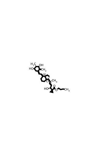 C=C1/C(=C\C=C2/CCC[C@]3(C)[C@@H]([C@H](C)/C=C/[C@H](O)C4(C(=O)OCCCC)CC4)CC[C@@H]23)C[C@H](O)[C@H](C)[C@@H]1O